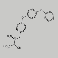 N[C@@H](Cc1ccc(Oc2ccc(Oc3ccccc3)cc2)cc1)C(O)C(=O)O